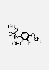 CC(C)(C)OC(=O)Nc1ccc(OC(F)(F)F)c(F)c1C=O